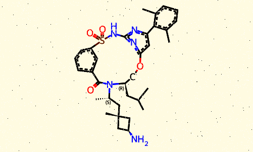 Cc1cccc(C)c1-c1cc2nc(n1)NS(=O)(=O)c1cccc(c1)C(=O)N([C@@H](C)C[C@]1(C)C[C@@H](N)C1)[C@H](CC(C)C)CO2